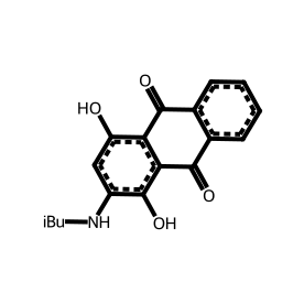 CCC(C)Nc1cc(O)c2c(c1O)C(=O)c1ccccc1C2=O